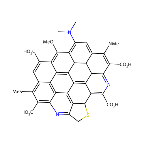 CNC1=C(C(=O)O)C2=NC(C(=O)O)=C3C4=c5c6c7c(c(C(=O)O)cc8c(SC)c(C(=O)O)c9nc%10c(c5c9c87)C3SC%10)=C(OC)C3=C(N(C)C)C=C1C(C24)C36